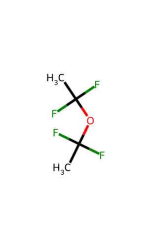 CC(F)(F)OC(C)(F)F